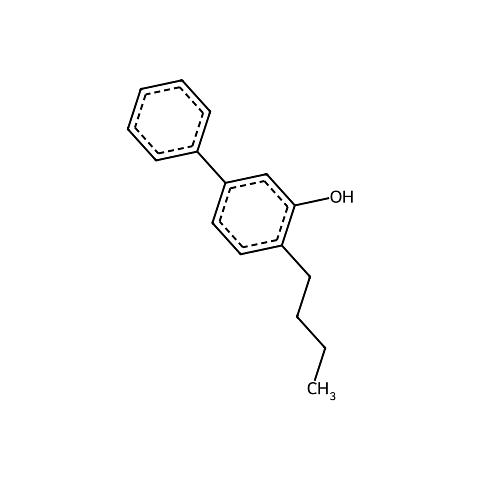 CCCCc1ccc(-c2ccccc2)cc1O